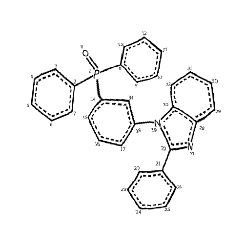 O=P(c1ccccc1)(c1ccccc1)c1cccc(-n2c(-c3ccccc3)nc3ccccc32)c1